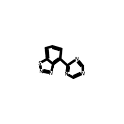 c1cc(-c2ncncn2)c2nnsc2c1